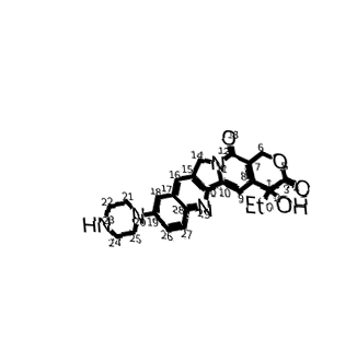 CCC1(O)C(=O)OCc2c1cc1n(c2=O)Cc2cc3cc(N4CCNCC4)ccc3nc2-1